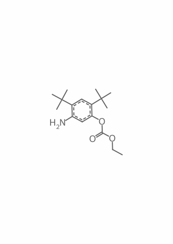 CCOC(=O)Oc1cc(N)c(C(C)(C)C)cc1C(C)(C)C